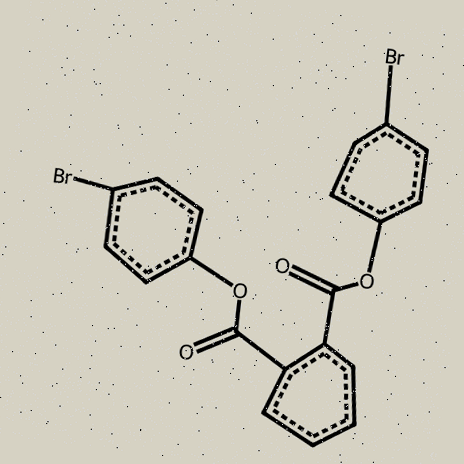 O=C(Oc1ccc(Br)cc1)c1ccccc1C(=O)Oc1ccc(Br)cc1